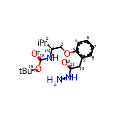 CC(C)[C@@H](COc1ccccc1CC(=O)NN)NC(=O)OC(C)(C)C